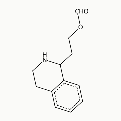 O=COCCC1NCCc2ccccc21